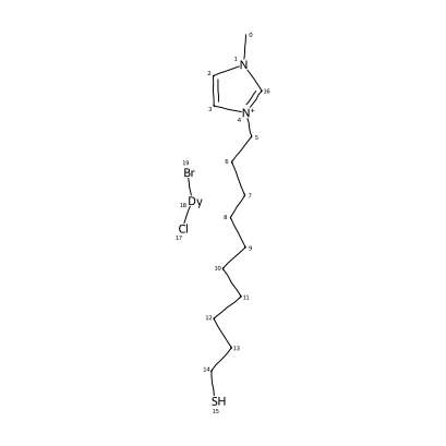 Cn1cc[n+](CCCCCCCCCCS)c1.[Cl][Dy][Br]